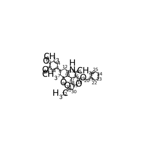 COc1ccc(C2CC(=O)C3=C(C2)NC(C)=C(C(=O)OCc2ccccc2)C3c2ccc(C)o2)cc1OC